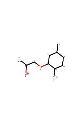 CCC(O)COC1CC(C)CCC1C(C)(C)C